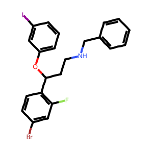 Fc1cc(Br)ccc1C(CCNCc1ccccc1)Oc1cccc(I)c1